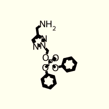 NCc1cnn(COP(=O)(Oc2ccccc2)Oc2ccccc2)n1